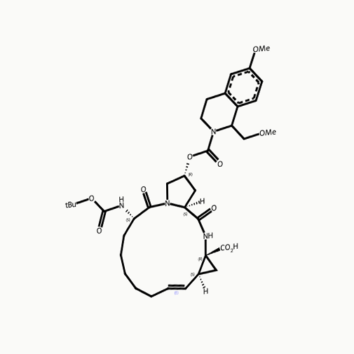 COCC1c2ccc(OC)cc2CCN1C(=O)O[C@@H]1C[C@H]2C(=O)N[C@]3(C(=O)O)C[C@H]3/C=C/CCCCC[C@H](NC(=O)OC(C)(C)C)C(=O)N2C1